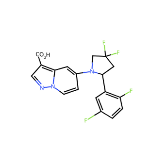 O=C(O)c1cnn2ccc(N3CC(F)(F)CC3c3cc(F)ccc3F)cc12